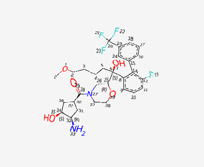 COCCCC[C@](O)(c1cccc(F)c1-c1cccc(C(F)(F)F)c1)[C@H]1CN(C(=O)[C@H]2C[C@@H](N)[C@@H](O)C2)CCO1